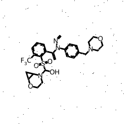 C=NN(C(=C)c1cccc(C(F)(F)F)c1S(=O)(=O)C(O)N1CCOC2CC21)c1ccc(CN2CCOCC2)cc1